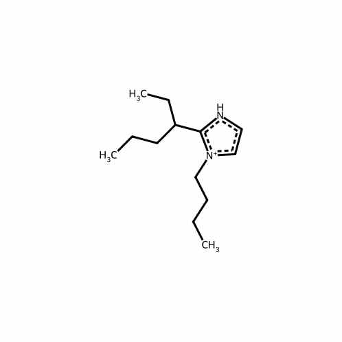 CCCC[n+]1cc[nH]c1C(CC)CCC